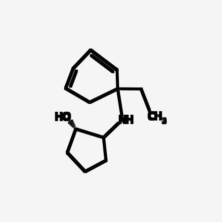 CCC1(NC2CCC[C@@H]2O)C=CC=CC1